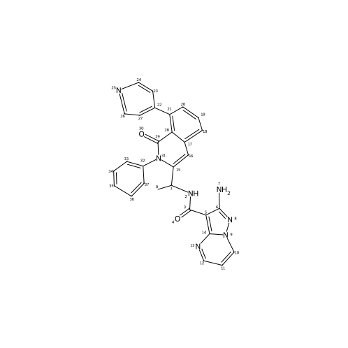 CC(NC(=O)c1c(N)nn2cccnc12)c1cc2cccc(-c3ccncc3)c2c(=O)n1-c1ccccc1